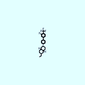 CCC1CC[C@@H]2C[C@H](c3ccc(-c4ccc(C(F)(F)F)c(F)c4)cc3)CC[C@@H]2C1